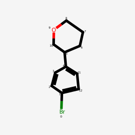 Brc1ccc(C2CCCOC2)cc1